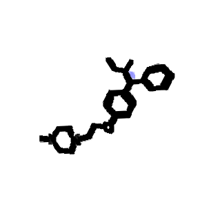 CC/C(C)=C(/c1ccccc1)c1ccc(OCCN2CCN(C)CC2)cc1